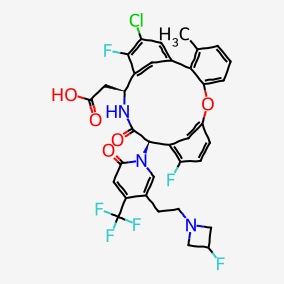 Cc1cccc2c1-c1cc(Cl)c(F)c(c1)[C@H](CC(=O)O)NC(=O)[C@H](n1cc(CCN3CC(F)C3)c(C(F)(F)F)cc1=O)c1cc(ccc1F)O2